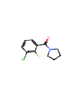 O=C(c1cccc(Cl)c1F)N1CCCC1